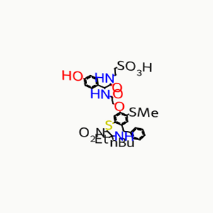 CCCCC1(CC)NC(c2ccccc2)c2cc(SC)c(OCC(=O)N[C@@H](C(=O)NCCS(=O)(=O)O)c3ccc(O)cc3)cc2SC1[N+](=O)[O-]